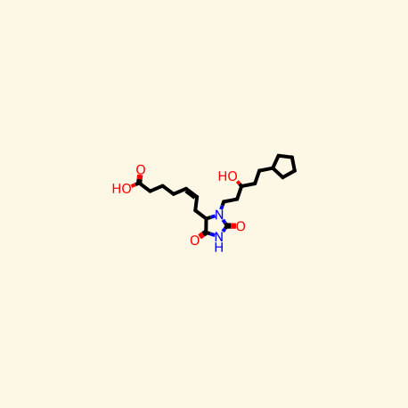 O=C(O)CCC/C=C\CC1C(=O)NC(=O)N1CCC(O)CCC1CCCC1